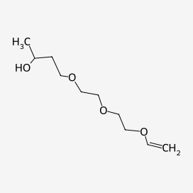 C=COCCOCCOCCC(C)O